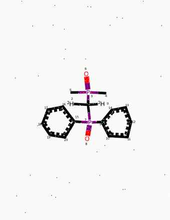 [2H]C([2H])(P(C)(C)=O)P(=O)(c1ccccc1)c1ccccc1